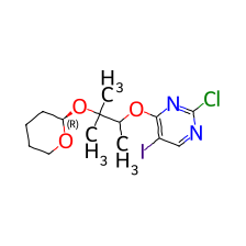 CC(Oc1nc(Cl)ncc1I)C(C)(C)O[C@@H]1CCCCO1